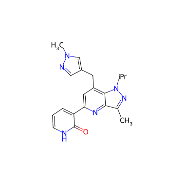 Cc1nn(C(C)C)c2c(Cc3cnn(C)c3)cc(-c3ccc[nH]c3=O)nc12